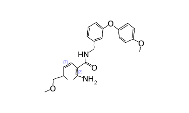 COCC(C)/C=C\C(C(=O)NCc1cccc(Oc2ccc(OC)cc2)c1)=C(/C)N